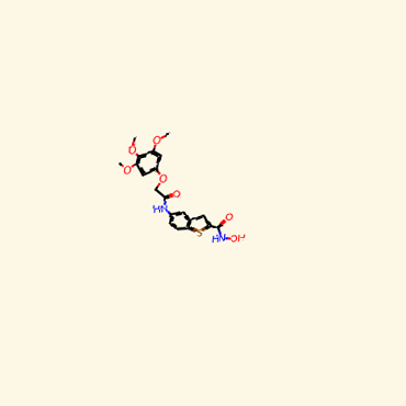 COc1cc(OCC(=O)Nc2ccc3sc(C(=O)NO)cc3c2)cc(OC)c1OC